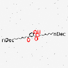 CCCCCCCCCCCCCCCCCCOC(=O)c1cc(C(=O)CCCCCCCCCCCCCCCCC)ccc1O